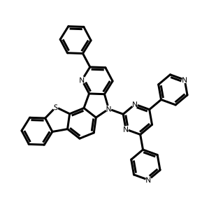 c1ccc(-c2ccc3c(n2)c2c4sc5ccccc5c4ccc2n3-c2nc(-c3ccncc3)cc(-c3ccncc3)n2)cc1